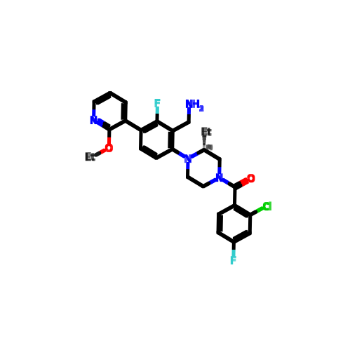 CCOc1ncccc1-c1ccc(N2CCN(C(=O)c3ccc(F)cc3Cl)C[C@H]2CC)c(CN)c1F